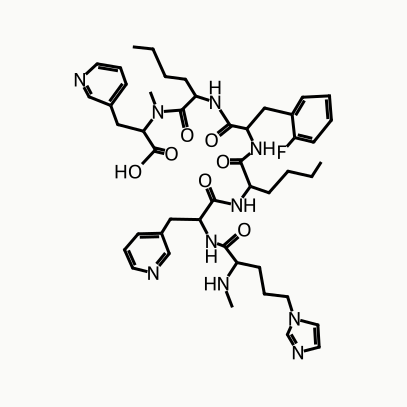 CCCCC(NC(=O)C(Cc1cccnc1)NC(=O)C(CCCn1ccnc1)NC)C(=O)NC(Cc1ccccc1F)C(=O)NC(CCCC)C(=O)N(C)C(Cc1cccnc1)C(=O)O